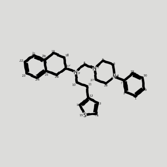 c1ccc(N2CCN(CN(CCc3ccsc3)C3CCc4ccccc4C3)CC2)cc1